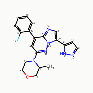 CC1COCCN1c1cc(-c2ccccc2F)c2ncc(-c3ccn[nH]3)n2n1